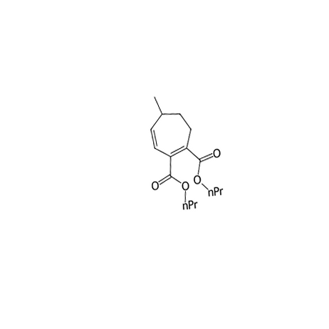 CCCOC(=O)C1=C(C(=O)OCCC)CCC(C)C=C1